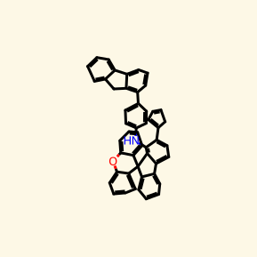 C1=CCC(c2ccc3c(c2Nc2ccc(-c4cccc5c4Cc4ccccc4-5)cc2)C2(c4ccccc4Oc4ccccc42)c2ccccc2-3)=C1